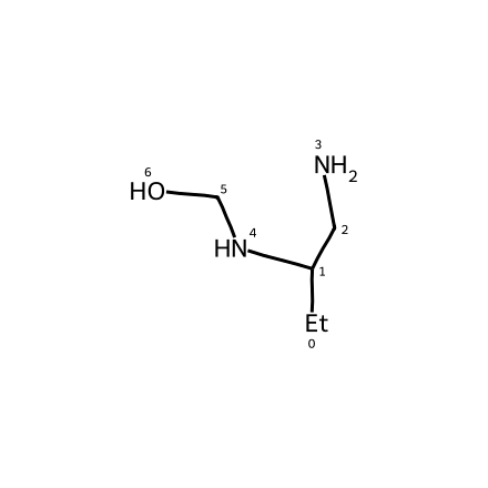 CCC(CN)NCO